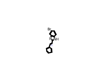 Brc1ccc2[nH]c(/C=C/c3ccccc3)nc2c1